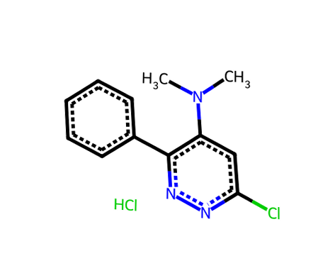 CN(C)c1cc(Cl)nnc1-c1ccccc1.Cl